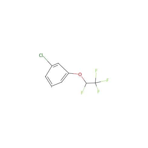 FC(Oc1c[c]cc(Cl)c1)C(F)(F)F